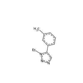 CCn1nncc1-c1cccc(C)c1